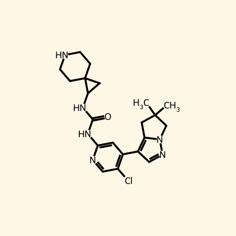 CC1(C)Cc2c(-c3cc(NC(=O)NC4CC45CCNCC5)ncc3Cl)cnn2C1